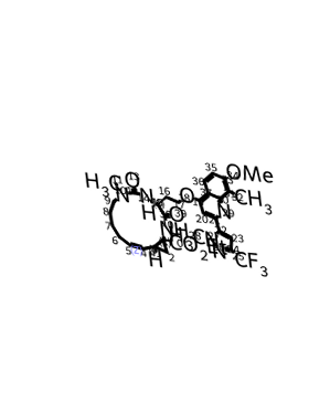 CCOC(=O)[C@@]12C[C@H]1/C=C\CCCCN(C)C(=O)N[C@@H](CCOc1cc(-c3cc(C(F)(F)F)nn3C)nc3c(C)c(OC)ccc13)C(=O)N2